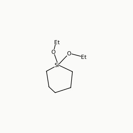 CCO[Si]1(OCC)CCCCC1